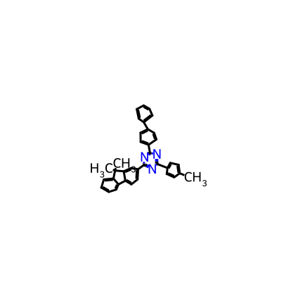 Cc1ccc(-c2nc(-c3ccc(-c4ccccc4)cc3)nc(-c3ccc4c(c3)C(C)(C)c3ccccc3-4)n2)cc1